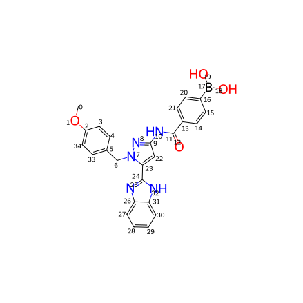 COc1ccc(Cn2nc(NC(=O)c3ccc(B(O)O)cc3)cc2-c2nc3ccccc3[nH]2)cc1